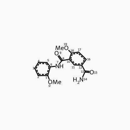 COc1ccccc1NC(=O)c1cc(C(N)=O)ccc1OC